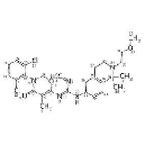 C=N/C(=N\C1=C(C)C(=O)N(c2c(Cl)cccc2Cl)CO1)Nc1ccc2c(c1)CCN(CCOC)C2(C)C